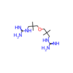 CC(C)(CNC(=N)N)COCC(C)(C)CNC(=N)N